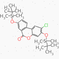 CC(C)(C)[Si](C)(C)Oc1ccc2c(c1)c(=O)oc1cc(O[Si](C)(C)C(C)(C)C)c(Cl)cc12